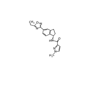 CCc1nc(-c2ccc3c(c2)CC[C@H]3NC(=O)c2ccn(C)n2)no1